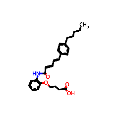 CCCCCc1ccc(C=CC=CC(=O)Nc2ccccc2OCCCC(=O)O)cc1